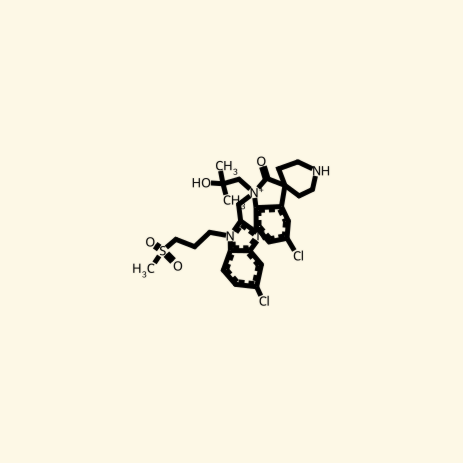 CC(C)(O)C[N+]1(Cc2nc3cc(Cl)ccc3n2CCCS(C)(=O)=O)C(=O)C2(CCNCC2)c2cc(Cl)ccc21